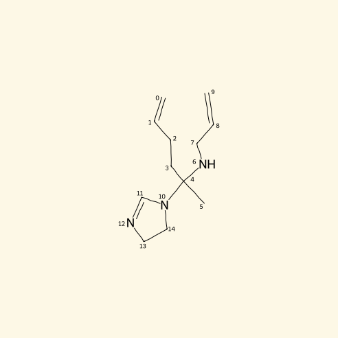 C=CCCC(C)(NCC=C)N1C=NCC1